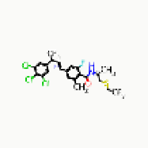 Cc1cc(/C=C/C(c2cc(Cl)c(Cl)c(Cl)c2)C(F)(F)F)cc(F)c1C(=O)N[C@H](C)CSCC(F)(F)F